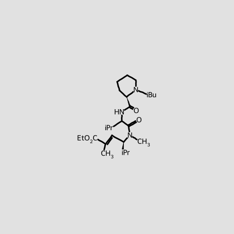 CCOC(=O)/C(C)=C/[C@H](C(C)C)N(C)C(=O)C(NC(=O)[C@H]1CCCCN1C(C)CC)C(C)C